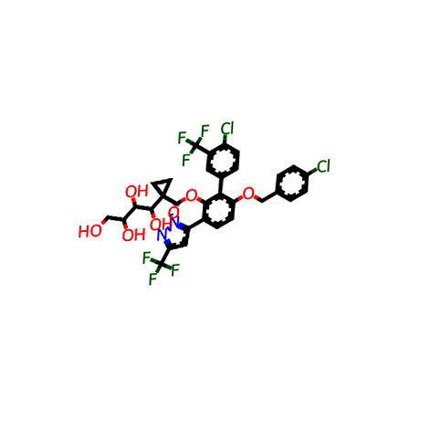 Cn1nc(C(F)(F)F)cc1-c1ccc(OCc2ccc(Cl)cc2)c(-c2ccc(Cl)c(C(F)(F)F)c2)c1OC(=O)C1(C(O)C(O)C(O)CO)CC1